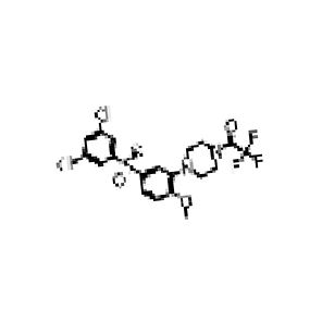 COc1ccc(S(=O)(=O)c2cc(Cl)cc(Cl)c2)cc1N1CCN(C(=O)C(F)(F)F)CC1